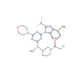 Cc1cccc2c1nc(C(F)F)n2-c1nc(N2CCOCC2)nc(N(C)C2CCCN(C(=O)CCl)C2)n1